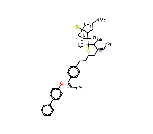 CCC/C=C(/CCCCc1ccc(/C(=C\CCC)Oc2ccc(-c3ccccc3)cc2)cc1)C(C(C)(C)C)C(C)(S)C(C)(C)C(CCNC)C(C)(C)S